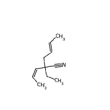 C/C=C\C(C#N)(CC)C/C=C/C